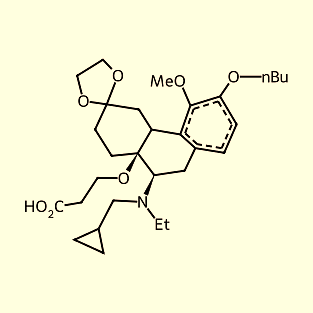 CCCCOc1ccc2c(c1OC)C1CC3(CC[C@@]1(OCCC(=O)O)[C@H](N(CC)CC1CC1)C2)OCCO3